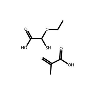 C=C(C)C(=O)O.CCOC(S)C(=O)O